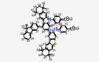 CC(C)(C)c1ccc(Nc2cc3sc4cc5c(cc4c3cc2-c2cc(-c3ccc4c(c3)-c3ccccc3C4(C)C)c3c4cc6c(cc4n4c3c2Bc2cc(C(C)(C)C)ccc2-4)C(C)(C)CCC6(C)C)C(C)(C)CCC5(C)C)cc1